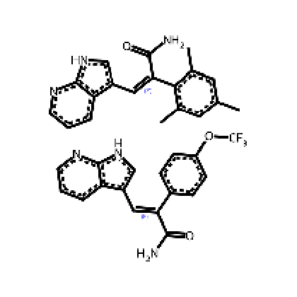 Cc1cc(C)c(/C(=C/c2c[nH]c3ncccc23)C(N)=O)c(C)c1.NC(=O)/C(=C/c1c[nH]c2ncccc12)c1ccc(OC(F)(F)F)cc1